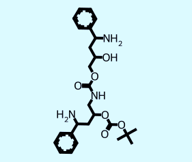 CC(C)(C)OC(=O)OC(CNC(=O)OCC(O)CC(N)c1ccccc1)CC(N)c1ccccc1